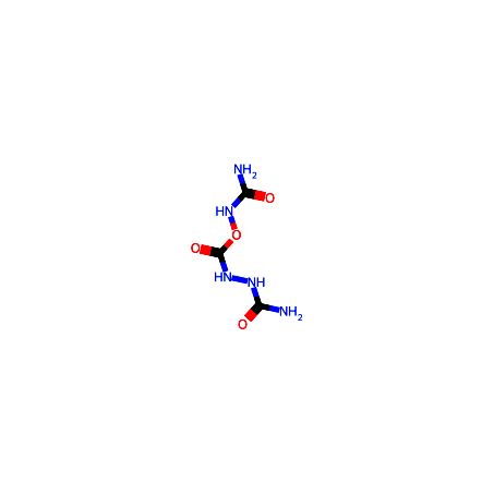 NC(=O)NNC(=O)ONC(N)=O